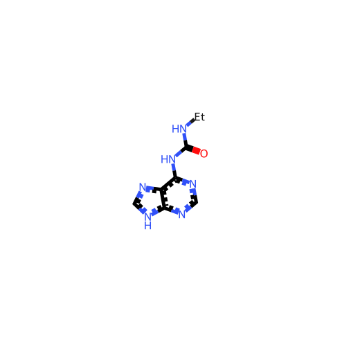 CCNC(=O)Nc1ncnc2[nH]cnc12